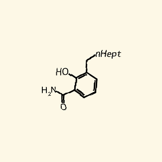 CCCCCCCCc1cccc(C(N)=O)c1O